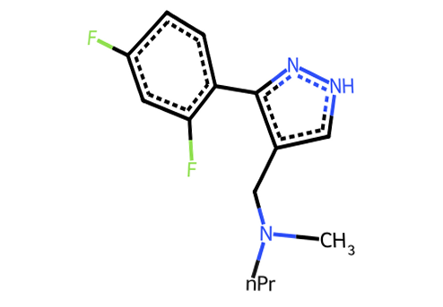 CCCN(C)Cc1c[nH]nc1-c1ccc(F)cc1F